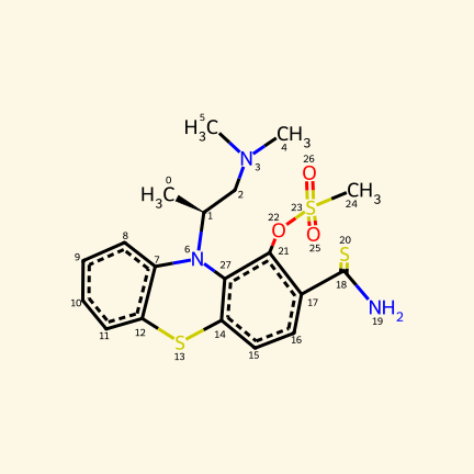 C[C@@H](CN(C)C)N1c2ccccc2Sc2ccc(C(N)=S)c(OS(C)(=O)=O)c21